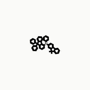 CC1(C)c2ccccc2-c2ccc(N(c3ccccc3)c3cccc4c3-c3ccccc3C4(c3ccccc3)c3ccccc3)cc21